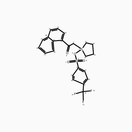 O=C(CS1(OS(=O)(=O)c2ccc(C(F)(F)F)cc2)CCCC1)c1cccc2ccccc12